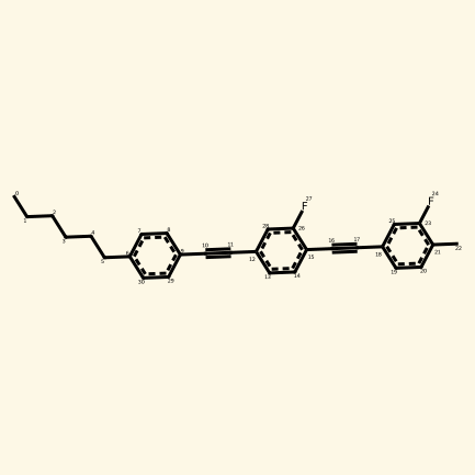 CCCCCCc1ccc(C#Cc2ccc(C#Cc3ccc(C)c(F)c3)c(F)c2)cc1